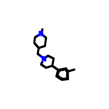 Cc1cccc(C2CCN(CC3CCN(C)CC3)CC2)c1